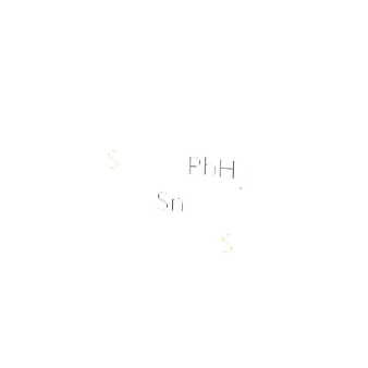 [PbH2].[S]=[Sn]=[S]